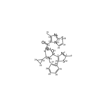 Cc1nc(C(=O)N(C)C(CNC(=O)c2c(C)nc3sccn23)C2CC2)c(-c2ccccc2)s1